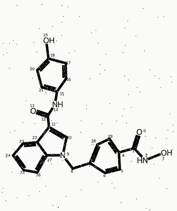 O=C(NO)c1ccc(Cn2cc(C(=O)Nc3ccc(O)cc3)c3ccccc32)cc1